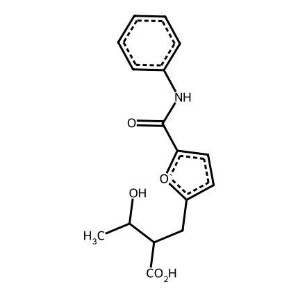 CC(O)C(Cc1ccc(C(=O)Nc2ccccc2)o1)C(=O)O